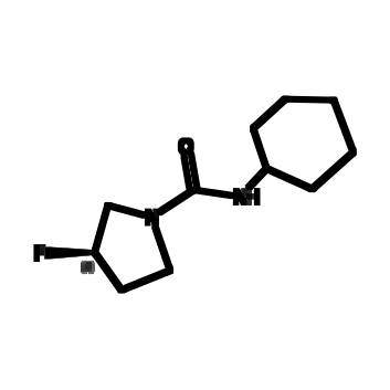 O=C(NC1CCCCC1)N1CC[C@@H](F)C1